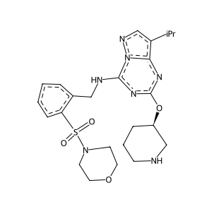 CC(C)c1cnn2c(NCc3ccccc3S(=O)(=O)N3CCOCC3)nc(O[C@@H]3CCCNC3)nc12